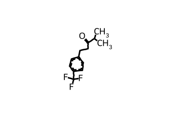 CC(C)C(=O)CCc1ccc(C(F)(F)F)cc1